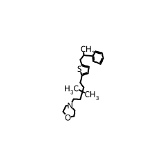 CC(Cc1ccc(CCC(C)(C)CCN2CCOCC2)s1)c1ccccc1